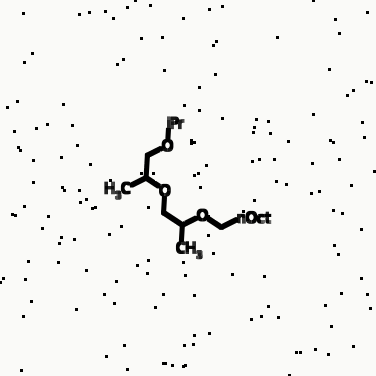 [CH2]C(C)OCC(C)OCC(C)OCCCCCCCCC